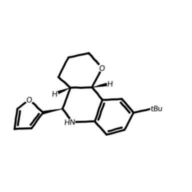 CC(C)(C)c1ccc2c(c1)[C@H]1OCCC[C@H]1[C@H](c1ccco1)N2